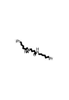 CC(C)CCCCCCNC(=O)CCCn1cc(CCCCC(C)C)nn1